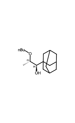 CCCCO[C@@H](C)[C@H](O)C12CC3CC(CC(C3)C1)C2